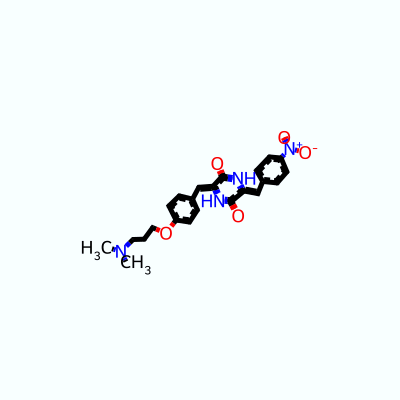 CN(C)CCCOc1ccc(C=c2[nH]c(=O)c(=Cc3ccc([N+](=O)[O-])cc3)[nH]c2=O)cc1